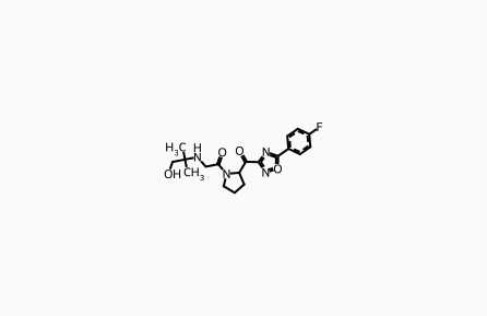 CC(C)(CO)NCC(=O)N1CCCC1C(=O)c1noc(-c2ccc(F)cc2)n1